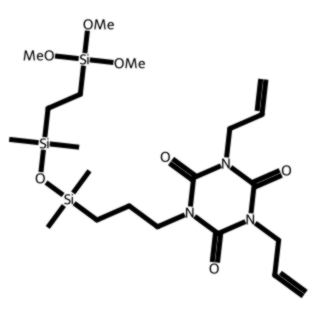 C=CCn1c(=O)n(CC=C)c(=O)n(CCC[Si](C)(C)O[Si](C)(C)CC[Si](OC)(OC)OC)c1=O